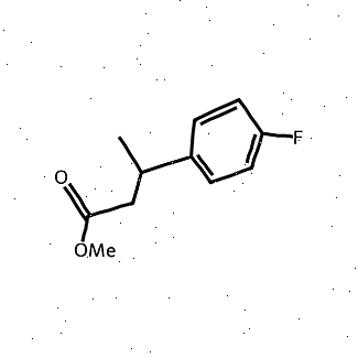 COC(=O)CC(C)c1ccc(F)cc1